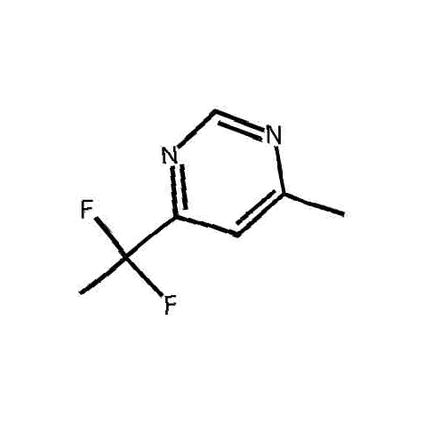 Cc1cc(C(C)(F)F)ncn1